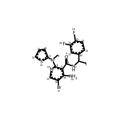 CC(NC(=O)c1c(N(C)c2cccs2)ncc(Br)c1N)c1ccc(F)c(F)c1